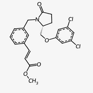 COC(=O)/C=C/c1cccc(CN2C(=O)CC[C@@H]2COc2cc(Cl)cc(Cl)c2)c1